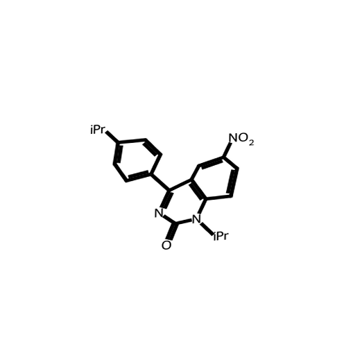 CC(C)c1ccc(-c2nc(=O)n(C(C)C)c3ccc([N+](=O)[O-])cc23)cc1